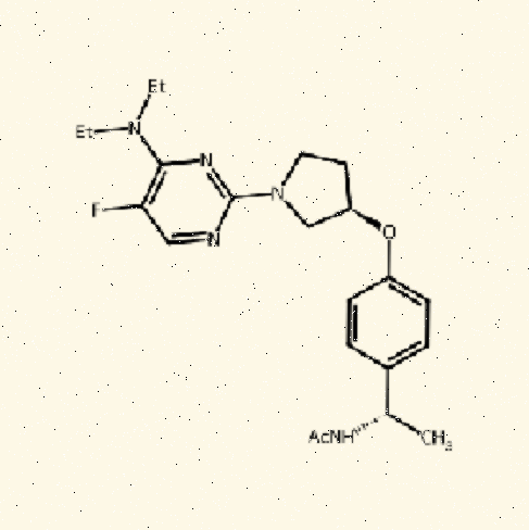 CCN(CC)c1nc(N2CC[C@@H](Oc3ccc([C@H](C)NC(C)=O)cc3)C2)ncc1F